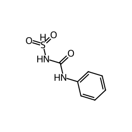 O=C(Nc1ccccc1)N[SH](=O)=O